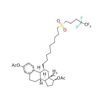 CC(=O)Oc1ccc2c(c1)CC[C@@H]1[C@@H]2[C@@H](CCCCCCCCCS(=O)(=O)CCCC(F)(F)C(F)(F)F)C[C@]2(C)[C@@H](OC(C)=O)CC[C@@H]12